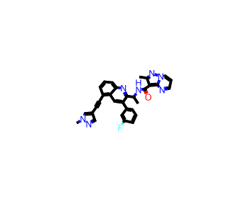 Cc1nn2cccnc2c1C(=O)NC(C)c1nc2cccc(C#Cc3cnn(C)c3)c2cc1-c1cccc(F)c1